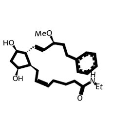 CCNC(=O)CCC/C=C\C[C@@H]1[C@@H](/C=C/[C@H](CCc2ccccc2)OC)[C@H](O)C[C@@H]1O